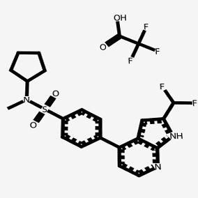 CN(C1CCCC1)S(=O)(=O)c1ccc(-c2ccnc3[nH]c(C(F)F)cc23)cc1.O=C(O)C(F)(F)F